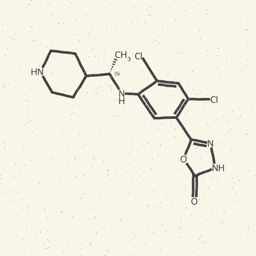 C[C@H](Nc1cc(-c2n[nH]c(=O)o2)c(Cl)cc1Cl)C1CCNCC1